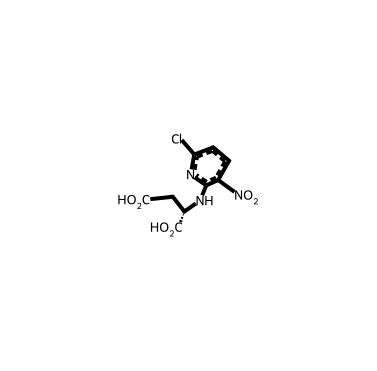 O=C(O)C[C@H](Nc1nc(Cl)ccc1[N+](=O)[O-])C(=O)O